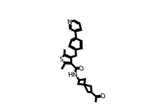 CC(=O)C1CC2(CC(NC(=O)c3c(C)sc(C)c3Cc3ccc(-c4cccnc4)cc3)C2)C1